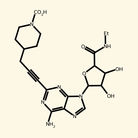 CCNC(=O)C1OC(n2cnc3c(N)nc(C#CCC4CCN(C(=O)O)CC4)nc32)C(O)C1O